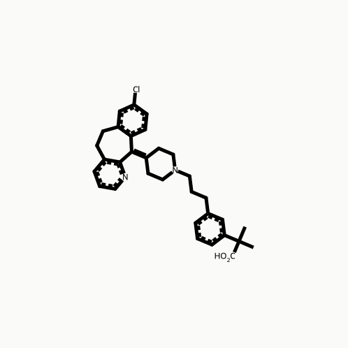 CC(C)(C(=O)O)c1cccc(CCCN2CCC(=C3c4ccc(Cl)cc4CCc4cccnc43)CC2)c1